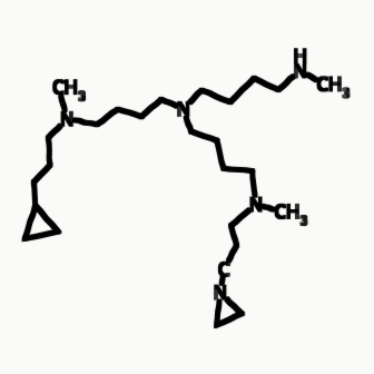 CNCCCCN(CCCCN(C)CCCC1CC1)CCCCN(C)CCCN1CC1